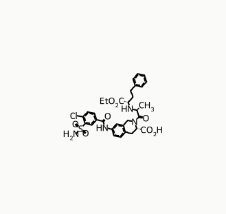 CCOC(=O)[C@H](CCc1ccccc1)N[C@@H](C)C(=O)N1Cc2cc(NC(=O)c3ccc(Cl)c(S(N)(=O)=O)c3)ccc2C[C@H]1C(=O)O